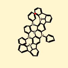 C1=CC2c3cc4c5c(c3N3c6ccccc6C(=C1)C23)N(c1ccccc1)c1cccc2c1B5c1c(cc3c(c1N2c1ccccc1)N1c2ccccc2C2=CC=CC3C21)N4c1ccccc1